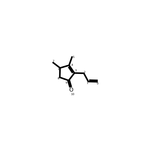 C=CCC1=C(C)C(C)CC1=O